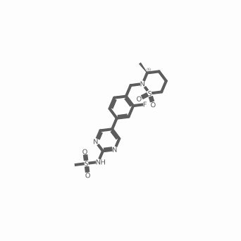 C[C@H]1CCCS(=O)(=O)N1Cc1ccc(-c2cnc(NS(C)(=O)=O)nc2)cc1F